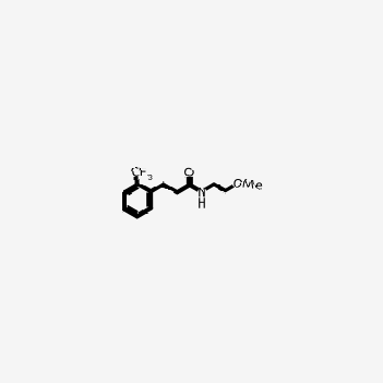 COCCNC(=O)C[CH]c1ccccc1C(F)(F)F